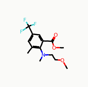 COCCN(C)c1c(C)cc(C(F)(F)F)cc1C(=O)OC